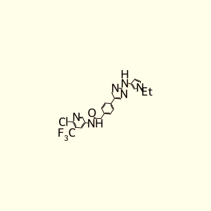 CCn1ccc(Nc2ncc(-c3ccc(CC(=O)Nc4cnc(Cl)c(C(F)(F)F)c4)cc3)cn2)c1